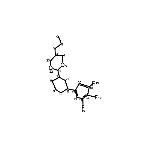 CCCC1COC(C2CCCC(c3cc(F)c(F)c(F)c3)C2)OC1